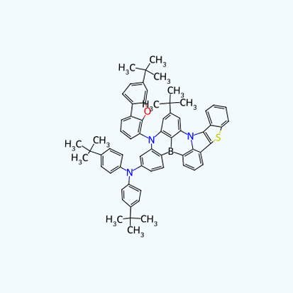 CC(C)(C)c1ccc(N(c2ccc(C(C)(C)C)cc2)c2ccc3c(c2)N(c2cccc4c2oc2cc(C(C)(C)C)ccc24)c2cc(C(C)(C)C)cc4c2B3c2cccc3c5sc6ccccc6c5n-4c23)cc1